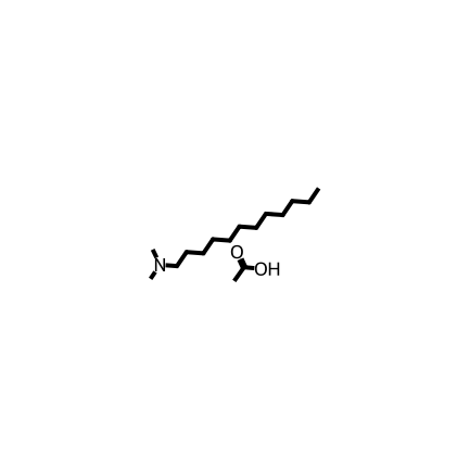 CC(=O)O.CCCCCCCCCCCCN(C)C